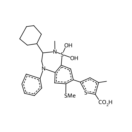 CSc1cc2c(cc1-c1cc(C)c(C(=O)O)s1)S(O)(O)N(C)C(C1CCCCC1)CN2c1ccccc1